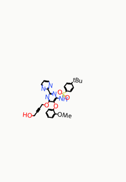 COc1ccccc1Oc1c(NS(=O)(=O)c2ccc(C(C)(C)C)cc2)nc(-c2ncccn2)nc1OCC#CCO